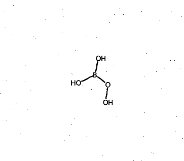 OOB(O)O